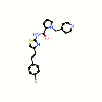 O=C(Nc1nc(/C=C/c2ccc(Cl)cc2)cs1)c1cccn1Cc1ccncc1